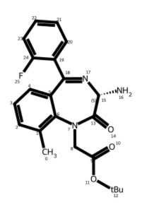 Cc1cccc2c1N(CC(=O)OC(C)(C)C)C(=O)[C@@H](N)N=C2c1ccccc1F